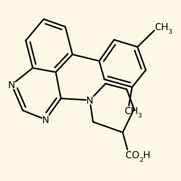 Cc1cc(C)cc(-c2cccc3ncnc(N4CCCC(C(=O)O)C4)c23)c1